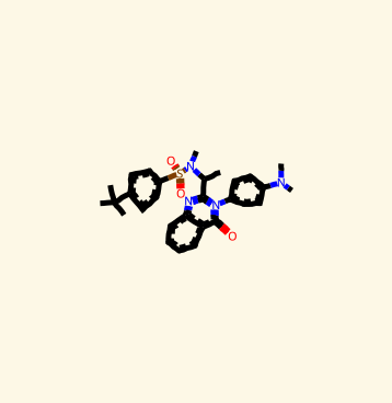 CC(c1nc2ccccc2c(=O)n1-c1ccc(N(C)C)cc1)N(C)S(=O)(=O)c1ccc(C(C)(C)C)cc1